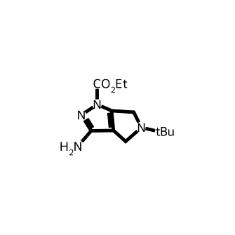 CCOC(=O)n1nc(N)c2c1CN(C(C)(C)C)C2